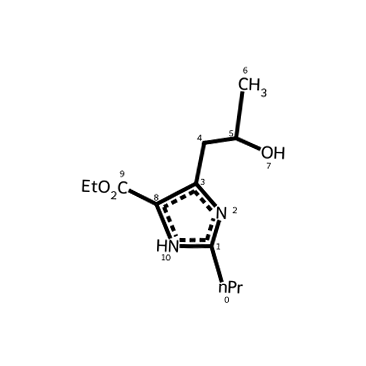 CCCc1nc(CC(C)O)c(C(=O)OCC)[nH]1